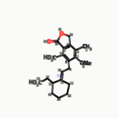 COc1c(C)c2c(c(C(=O)O)c1C/C=C1\CCCCC1CC(=O)O)C(=O)OC2